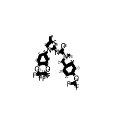 Cc1cn(-c2ccc3c(c2)OC(F)(F)C(F)(F)O3)/c(=N/C(=O)N(C)Cc2ccc(OC(F)F)cc2)s1